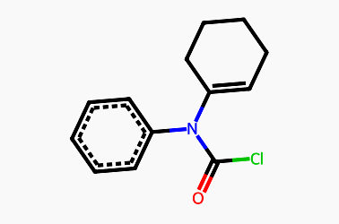 O=C(Cl)N(C1=CCCCC1)c1ccccc1